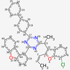 C/C=C\c1oc2c(Cl)cccc2c1C(C)c1nc(-c2ccc(-c3ccccc3)cc2)nc(-c2cccc3oc4ccccc4c23)n1